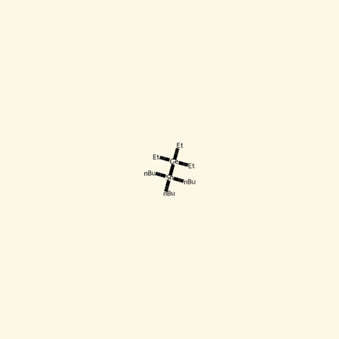 CCC[CH2][Sn]([CH2]CCC)([CH2]CCC)[Ge]([CH2]C)([CH2]C)[CH2]C